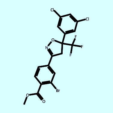 COC(=O)c1ccc(C2=NOC(c3cc(Cl)cc(Cl)c3)(C(F)(F)F)C2)cc1Br